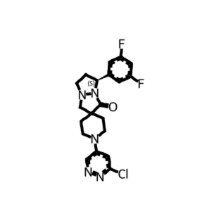 O=C1N2[C@H](c3cc(F)cc(F)c3)CCN2CC12CCN(c1cnnc(Cl)c1)CC2